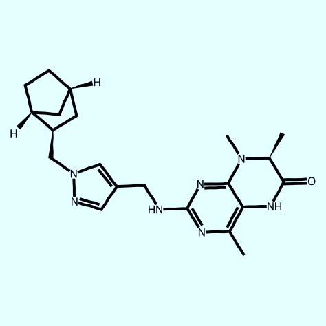 Cc1nc(NCc2cnn(C[C@@H]3C[C@H]4CC[C@@H]3C4)c2)nc2c1NC(=O)[C@H](C)N2C